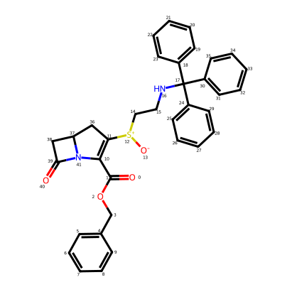 O=C(OCc1ccccc1)C1=C([S+]([O-])CCNC(c2ccccc2)(c2ccccc2)c2ccccc2)CC2CC(=O)N12